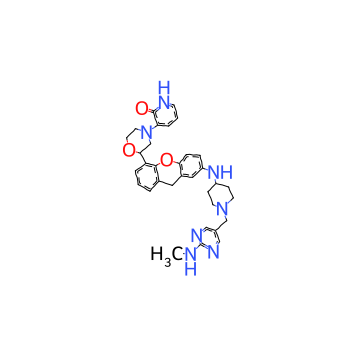 CNc1ncc(CN2CCC(Nc3ccc4c(c3)Cc3cccc(C5CN(c6ccc[nH]c6=O)CCO5)c3O4)CC2)cn1